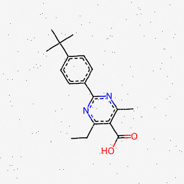 CCc1nc(-c2ccc(C(C)(C)C)cc2)nc(C)c1C(=O)O